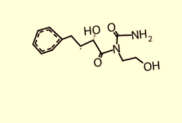 NC(=O)N(CCO)C(=O)[C@@H](O)[CH]Cc1ccccc1